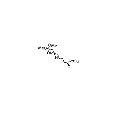 CO[Si](CCCNCCC(=O)OC(C)(C)C)(OC)OC